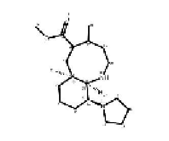 COC(=O)C1C[C@@H]2CCC[C@H](N3CCCC3)[C@@H]2NCCC1C